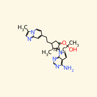 Cc1cnc2cc(CCC3C[C@@H](OC(C)(C)O)C(n4ccc5c(N)ncnc54)[C@H]3C)ccn12